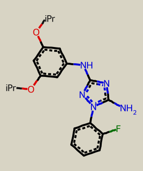 CC(C)Oc1cc(Nc2nc(N)n(-c3ccccc3F)n2)cc(OC(C)C)c1